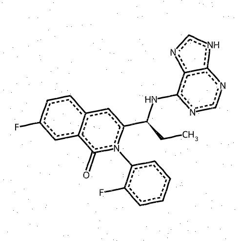 CC[C@H](Nc1ncnc2[nH]cnc12)c1cc2ccc(F)cc2c(=O)n1-c1ccccc1F